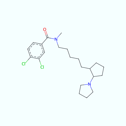 CN(CCCCCC1CCCC1N1CCCC1)C(=O)c1ccc(Cl)c(Cl)c1